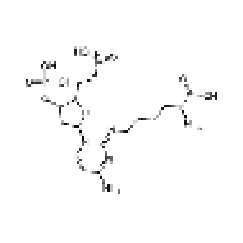 Nc1ccn([C@H]2CC(OP(=O)(O)O)[C@@H](CO[PH](=O)O)O2)/c(=N/CCCC[C@H](N)C(=O)O)n1